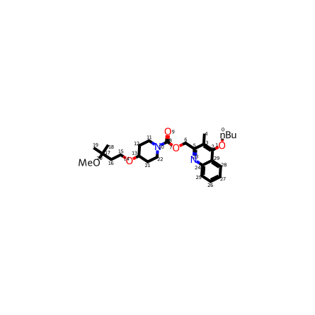 CCCCOc1c(C)c(COC(=O)N2CCC(OCCC(C)(C)OC)CC2)nc2ccccc12